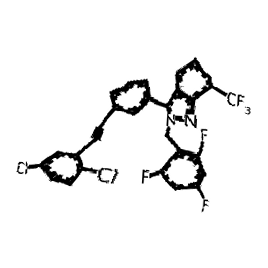 Fc1cc(F)c(Cn2nc3c(C(F)(F)F)cccc3c2-c2cccc(C#Cc3cc(Cl)ccc3Cl)c2)c(F)c1